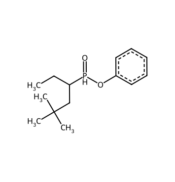 CCC(CC(C)(C)C)[PH](=O)Oc1ccccc1